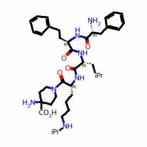 CC(C)C[C@@H](NC(=O)[C@@H](CCc1ccccc1)NC(=O)[C@H](N)Cc1ccccc1)C(=O)N[C@H](CCCCNC(C)C)C(=O)N1CCC(N)(C(=O)O)CC1